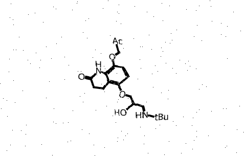 CC(=O)COc1ccc(OCC(O)CNC(C)(C)C)c2c1NC(=O)CC2